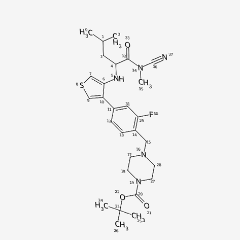 CC(C)CC(Nc1cscc1-c1ccc(CN2CCN(C(=O)OC(C)(C)C)CC2)c(F)c1)C(=O)N(C)C#N